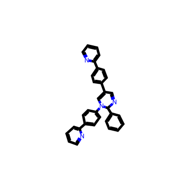 C1=NC(c2ccccc2)N(c2ccc(-c3ccccn3)cc2)C=C1c1ccc(-c2ccccn2)cc1